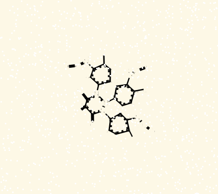 Cc1ccc(-n2c(=O)c(=O)c(=O)n(-c3ccc(C)c(N=C=O)c3)n2-c2ccc(C)c(N=C=O)c2)cc1N=C=O